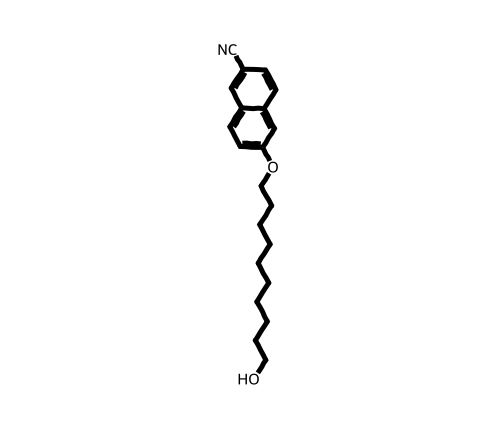 N#Cc1ccc2cc(OCCCCCCCCCCO)ccc2c1